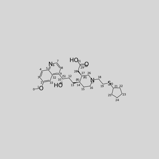 COc1ccc2nccc([C@@H](O)CC[C@@H]3CCN(CCSC4CCCC4)C[C@@H]3CC(=O)O)c2c1